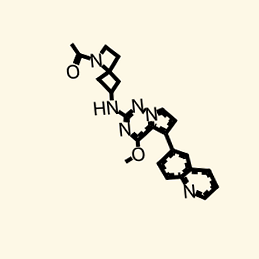 COc1nc(NC2CC3(CCN3C(C)=O)C2)nn2ccc(-c3ccc4ncccc4c3)c12